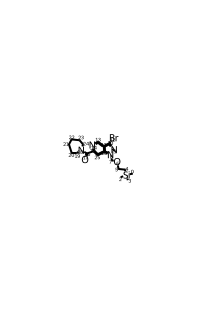 C[Si](C)(C)CCOCn1nc(Br)c2cnc(C(=O)N3CCCCCC3)cc21